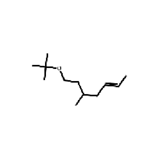 CC=CCC(C)CCOC(C)(C)C